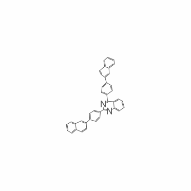 c1ccc2cc(-c3ccc(-c4nc(-c5ccc(-c6ccc7ccccc7c6)cc5)c5ccccc5n4)cc3)ccc2c1